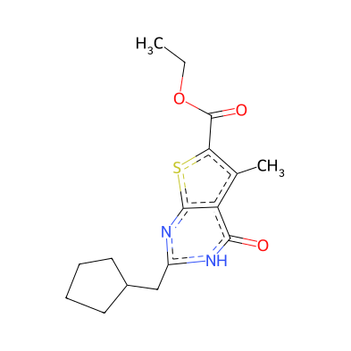 CCOC(=O)c1sc2nc(CC3CCCC3)[nH]c(=O)c2c1C